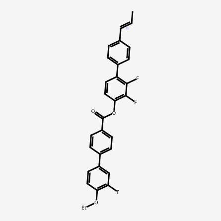 C/C=C/c1ccc(-c2ccc(OC(=O)c3ccc(-c4ccc(OCC)c(F)c4)cc3)c(F)c2F)cc1